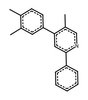 Cc1ccc(-c2cc(-c3ccccc3)ncc2C)cc1C